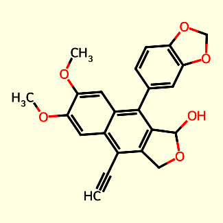 C#Cc1c2c(c(-c3ccc4c(c3)OCO4)c3cc(OC)c(OC)cc13)C(O)OC2